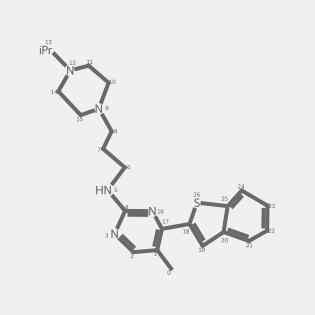 Cc1cnc(NCCCN2CCN(C(C)C)CC2)nc1-c1cc2ccccc2s1